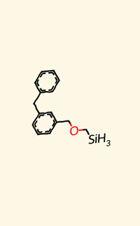 [SiH3]COCc1cccc(Cc2ccccc2)c1